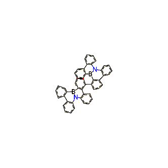 c1ccc2c(c1)B1c3c(cccc3-c3cccc4c3-c3ccccc3N3B4c4ccccc4-c4ccccc43)-c3ccccc3N1c1ccccc1-2